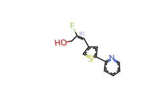 OC/C(F)=C\c1csc(-c2ccccn2)c1